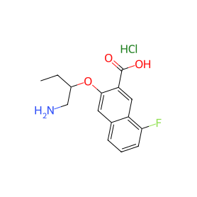 CCC(CN)Oc1cc2cccc(F)c2cc1C(=O)O.Cl